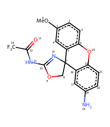 COc1ccc2c(c1)C1(COC(NC(=O)C(F)(F)F)=N1)c1cc(N)ccc1O2